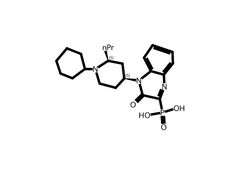 CCC[C@H]1C[C@@H](n2c(=O)c(P(=O)(O)O)nc3ccccc32)CCN1C1CCCCC1